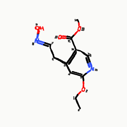 CCOc1cc(CC=NO)c(C(=O)OC)cn1